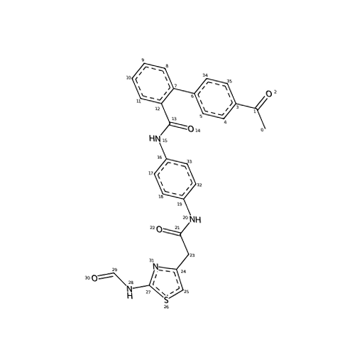 CC(=O)c1ccc(-c2ccccc2C(=O)Nc2ccc(NC(=O)Cc3csc(NC=O)n3)cc2)cc1